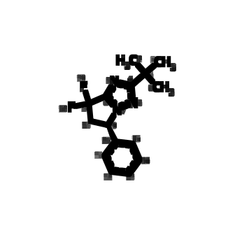 CC(C)(C)c1nc2n(n1)[C@@H](c1ccccc1)CC2(F)F